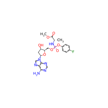 COC(=O)[C@H](C)NP(=O)(OC[C@H]1O[C@@H](n2cnc3c(N)ncnc32)C[C@H]1O)Oc1ccc(F)cc1